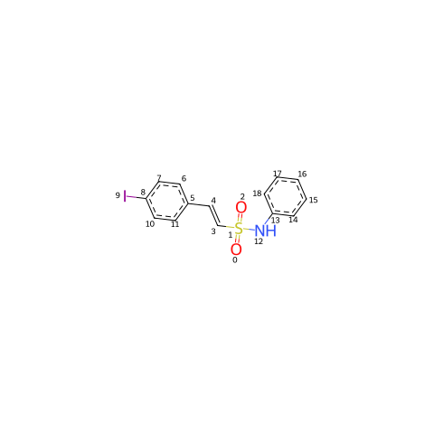 O=S(=O)(C=Cc1ccc(I)cc1)Nc1ccccc1